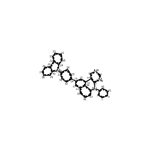 c1ccc(N2c3ncncc3-c3cc(-c4ccc(-n5c6ccccc6c6ccccc65)cc4)cc4cccc2c34)cc1